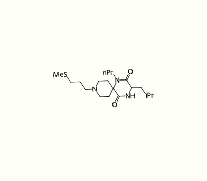 CCCN1C(=O)C(CC(C)C)NC(=O)C12CCN(CCCSC)CC2